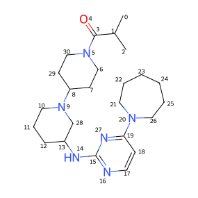 CC(C)C(=O)N1CCC(N2CCCC(Nc3nccc(N4CCCCCC4)n3)C2)CC1